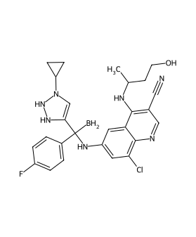 BC(Nc1cc(Cl)c2ncc(C#N)c(NC(C)CCO)c2c1)(C1=CN(C2CC2)NN1)c1ccc(F)cc1